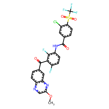 COc1cnc2ccc(C(=O)c3c(F)ccc(NC(=O)c4ccc(S(=O)(=O)C(F)(F)F)c(Cl)c4)c3F)cc2n1